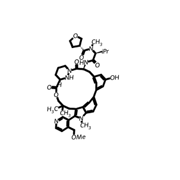 COCc1ccncc1-c1c2c3cc(ccc3n1C)-c1cc(O)cc(c1)C[C@H](NC(=O)[C@H](C(C)C)N(C)C(=O)[C@@H]1CCOC1)C(=O)N1CCC[C@H](N1)C(=O)OCC(C)(C)C2